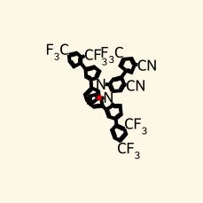 N#Cc1cc(-c2cc(-n3c4ccccc4c4cc(-c5ccc(C(F)(F)F)cc5C(F)(F)F)ccc43)c(-n3c4ccccc4c4cc(-c5ccc(C(F)(F)F)cc5C(F)(F)F)ccc43)cc2C#N)cc(C(F)(F)F)c1